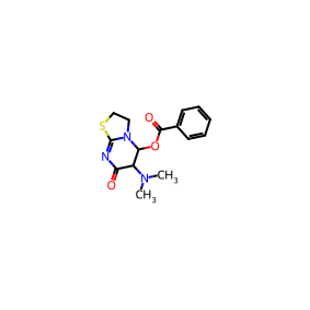 CN(C)C1C(=O)N=C2SCCN2C1OC(=O)c1ccccc1